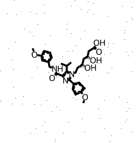 COc1ccc(-c2nc(C(=O)NCc3cccc(OC)c3)c(C(C)C)n2CC[C@@H](O)C[C@@H](O)CC(=O)O)cc1